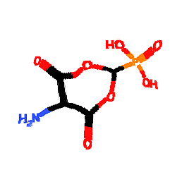 NC1C(=O)OC(P(=O)(O)O)OC1=O